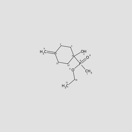 C=C1CCC(O)(P(C)(=O)OCC)CC1